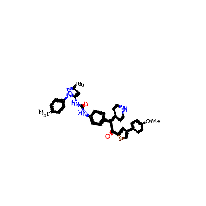 COc1ccc(-c2csc(C(=O)C(c3ccc(NC(=O)Nc4cc(C(C)(C)C)nn4-c4ccc(C)cc4)cc3)C3CCNCC3)c2)cc1